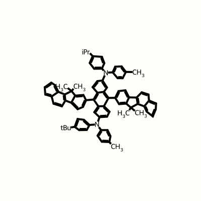 Cc1ccc(N(c2ccc(C(C)C)cc2)c2ccc3c(-c4ccc5c(c4)C(C)(C)c4c-5ccc5ccccc45)c4cc(N(c5ccc(C)cc5)c5ccc(C(C)(C)C)cc5)ccc4c(-c4ccc5c(c4)C(C)(C)c4c-5ccc5ccccc45)c3c2)cc1